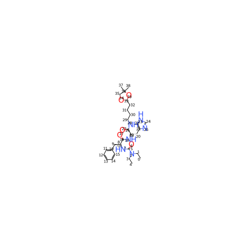 CCN(CC)C(=O)N[C@@H](Cc1ccccc1)C(=O)N[C@@H](Cc1c[nH]cn1)C(=O)NCCCCC1OCC(C)(C)O1